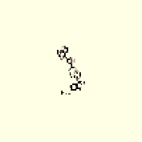 Cc1ccc(C(=O)N2CCN(CC(CC#N)n3cc(-c4ncnc5[nH]ccc45)cn3)CC2)c(F)c1